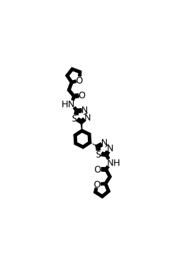 O=C(CC1CCCO1)Nc1nnc([C@@H]2CCC[C@@H](c3nnc(NC(=O)CC4CCCO4)s3)C2)s1